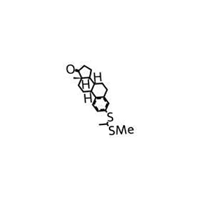 CSC(C)Sc1ccc2c(c1)CC[C@@H]1[C@@H]2CC[C@]2(C)C(=O)CC[C@@H]12